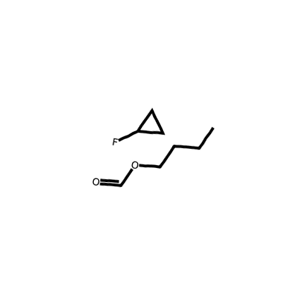 CCCCOC=O.FC1CC1